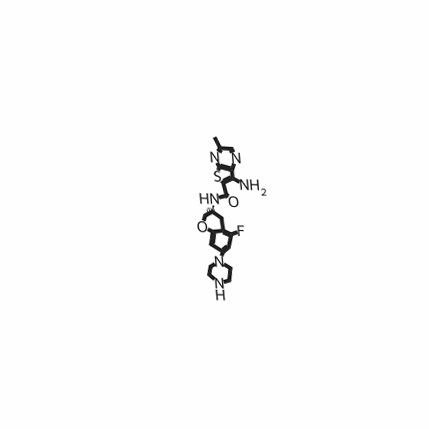 Cc1cnc2c(N)c(C(=O)N[C@H]3COc4cc(N5CCNCC5)cc(F)c4C3)sc2n1